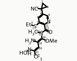 CCSc1cc(C2(C#N)CC2)cnc1C(=O)N(C)/C(OC)=C(N)/C=C(\NO)C(F)(F)F